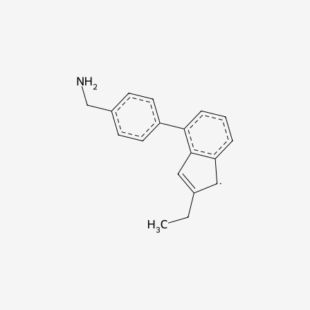 CCC1=Cc2c(cccc2-c2ccc(CN)cc2)[CH]1